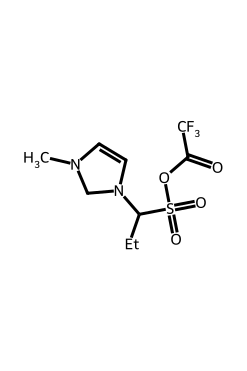 CCC(N1C=CN(C)C1)S(=O)(=O)OC(=O)C(F)(F)F